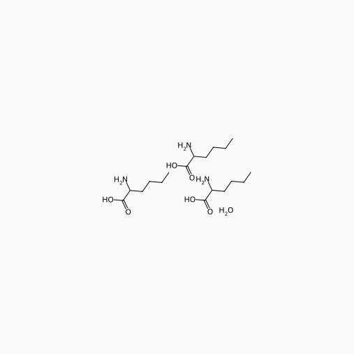 CCCCC(N)C(=O)O.CCCCC(N)C(=O)O.CCCCC(N)C(=O)O.O